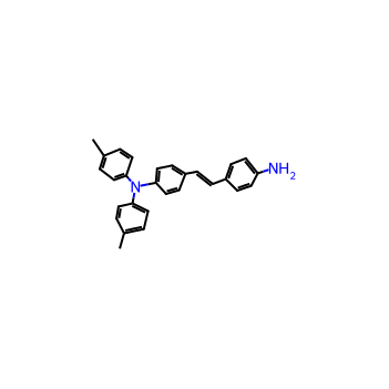 Cc1ccc(N(c2ccc(C)cc2)c2ccc(C=Cc3ccc(N)cc3)cc2)cc1